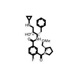 COC[C@H]1CCCN1C(=O)c1cc(C(=O)N[C@@H](Cc2ccccc2)[C@H](O)CNC2CC2)ccc1F